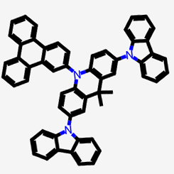 CC1(C)c2cc(-n3c4ccccc4c4ccccc43)ccc2N(c2ccc3c4ccccc4c4ccccc4c3c2)c2ccc(-n3c4ccccc4c4ccccc43)cc21